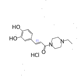 CCN1CCN(C(=O)/C=C/c2ccc(O)c(O)c2)CC1.Cl